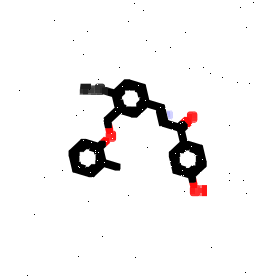 COc1ccc(/C=C/C(=O)c2ccc(O)cc2)cc1COc1ccccc1C